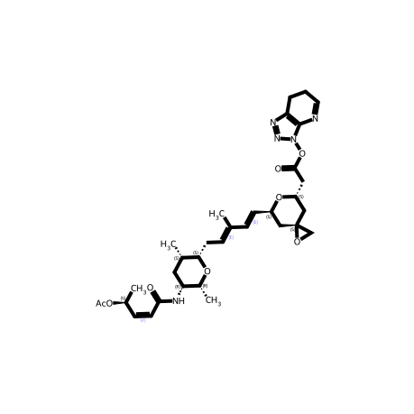 CC(=O)O[C@@H](C)/C=C\C(=O)N[C@@H]1C[C@H](C)[C@H](C/C=C(C)/C=C/[C@@H]2C[C@]3(CO3)C[C@@H](CC(=O)On3nnc4c3N=CCC4)O2)O[C@@H]1C